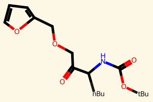 CCCCC(NC(=O)OC(C)(C)C)C(=O)COCc1ccco1